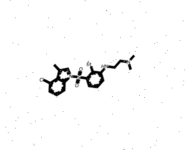 CCc1c(NCCN(C)C)cccc1S(=O)(=O)n1cc(C)c2c(Cl)cccc21